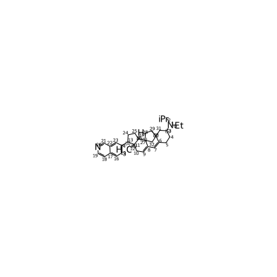 CCN(C(C)C)[C@H]1CCC2=CC3=CC[C@]4(C)[C@@H](c5ccc6ccncc6c5)CC[C@H]4[C@@]34CC[C@]2(C1)C4